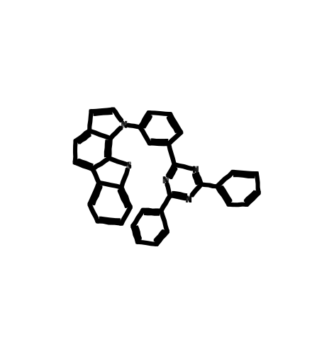 c1ccc(-c2nc(-c3ccccc3)nc(-c3cccc(-n4ccc5ccc6c7ccccc7sc6c54)c3)n2)cc1